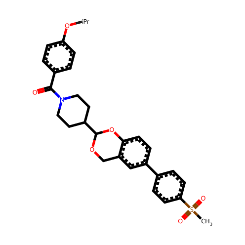 CC(C)Oc1ccc(C(=O)N2CCC(C3OCc4cc(-c5ccc(S(C)(=O)=O)cc5)ccc4O3)CC2)cc1